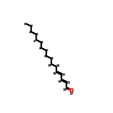 CCCCCCCCCCCCC=CC=CC=O